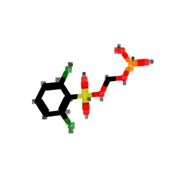 O=[PH](O)OCOS(=O)(=O)c1c(Cl)cccc1Cl